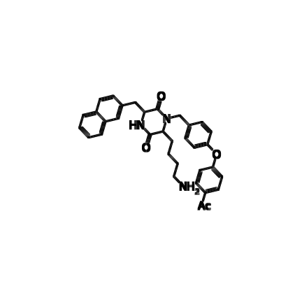 CC(=O)c1ccc(Oc2ccc(CN3C(=O)C(Cc4ccc5ccccc5c4)NC(=O)C3CCCCN)cc2)cc1